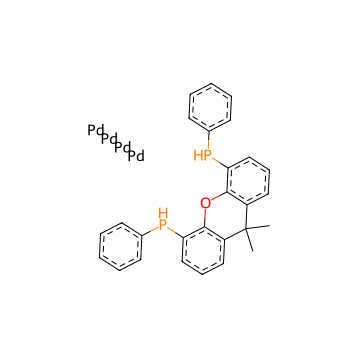 CC1(C)c2cccc(Pc3ccccc3)c2Oc2c(Pc3ccccc3)cccc21.[Pd].[Pd].[Pd].[Pd]